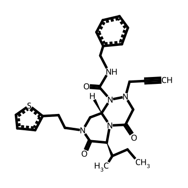 C#CCN1CC(=O)N2[C@@H](C(C)CC)C(=O)N(CCc3cccs3)C[C@@H]2N1C(=O)NCc1ccccc1